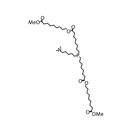 COC(=O)CCCCCCCCOC(=O)CCCCCCCP(CCCCCCCC(=O)OCCCCCCCCC(=O)OC)CCCCCN(C)C